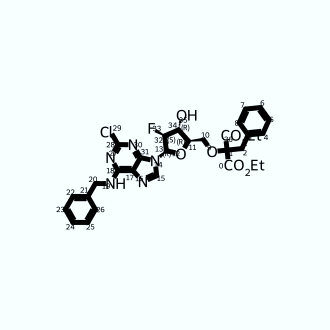 CCOC(=O)C(Cc1ccccc1)(OC[C@H]1O[C@@H](n2cnc3c(NCc4ccccc4)nc(Cl)nc32)[C@@H](F)[C@@H]1O)C(=O)OCC